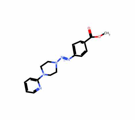 COC(=O)c1ccc(/N=N/N2CCN(c3ccccn3)CC2)cc1